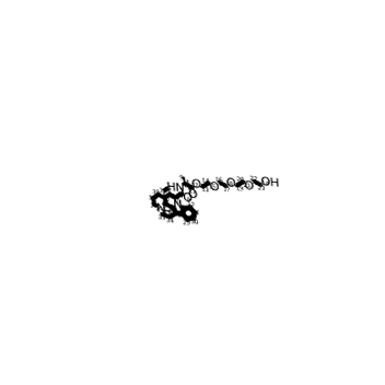 CC[C@@]12C=C(C(=O)N[C@@H](C)C(=O)OCCOCCOCCOCCO)n3c4c(c5ccccc53)CCN(CCC1)[C@H]42